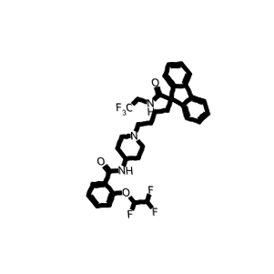 O=C(NC1CCN(CCCCC2(C(=O)NCC(F)(F)F)c3ccccc3-c3ccccc32)CC1)c1ccccc1OC(F)C(F)F